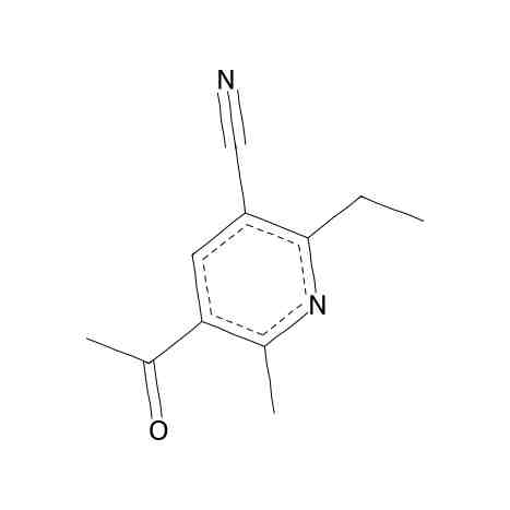 CCc1nc(C)c(C(C)=O)cc1C#N